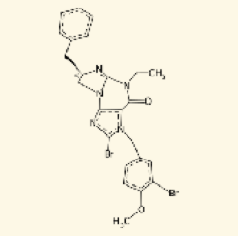 CCN1C(=O)c2c(nc(Br)n2Cc2ccc(OC)c(Br)c2)N2C[C@@H](Cc3ccccc3)N=C12